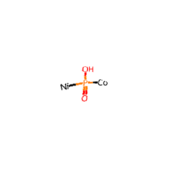 O=[P](O)([Co])[Ni]